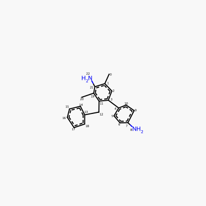 Cc1cc(-c2ccc(N)cc2)c(Cc2ccccc2)c(C)c1N